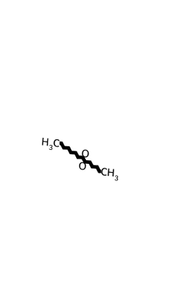 CCCCCCCC(=O)C(=O)CCCCC